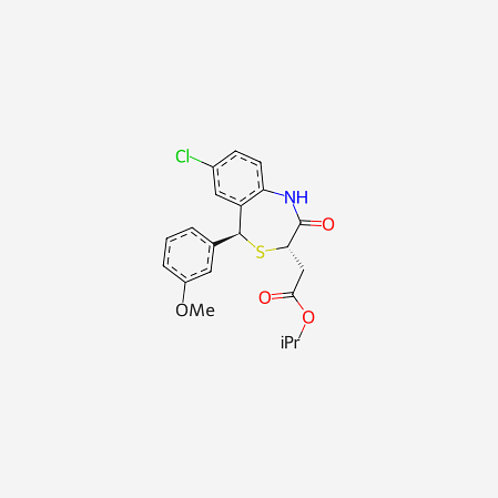 COc1cccc([C@@H]2S[C@@H](CC(=O)OC(C)C)C(=O)Nc3ccc(Cl)cc32)c1